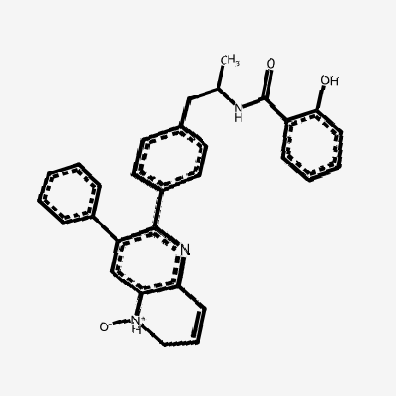 CC(Cc1ccc(-c2nc3c(cc2-c2ccccc2)[NH+]([O-])CC=C3)cc1)NC(=O)c1ccccc1O